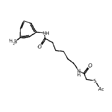 Bc1cccc(NC(=O)CCCCCNC(=O)CSC(C)=O)c1